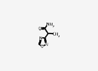 C[C](C(N)=O)c1ncon1